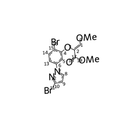 CO/C=C(\Oc1cc(-n2ccc(Br)n2)ccc1Br)C(=O)OC